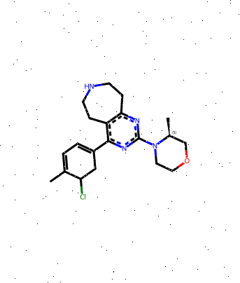 CC1=CC=C(c2nc(N3CCOC[C@@H]3C)nc3c2CCNCC3)CC1Cl